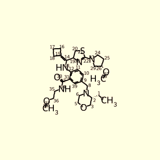 CC[C@@H]1COCCN1Cc1ccc(NC(=C2CCC2)C2CSC(N3CC[C@H](OC)C3)=N2)c(C(=O)NCCOC)c1